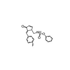 O=C(NCC1C=CC(=O)/C1=C/c1ccc(F)cc1)Oc1ccccc1